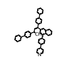 C=C(/C=C(/c1ccc(-c2ccccc2)cc1)c1cc(-c2ccc(-c3ccncc3)cc2)c2ccccc2c1)c1ccc(-c2ccccc2)cc1